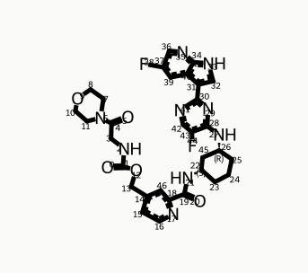 O=C(NCC(=O)N1CCOCC1)OCc1ccnc(C(=O)N[C@H]2CCC[C@@H](Nc3nc(-c4c[nH]c5ncc(F)cc45)ncc3F)C2)c1